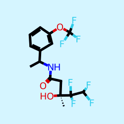 CC(NC(=O)C[C@](C)(O)C(F)(F)C(F)F)c1cccc(OC(F)(F)F)c1